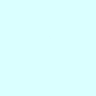 [CH]1OC=CO1